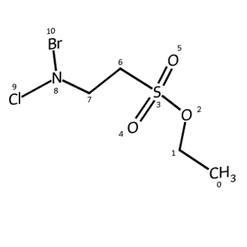 CCOS(=O)(=O)CCN(Cl)Br